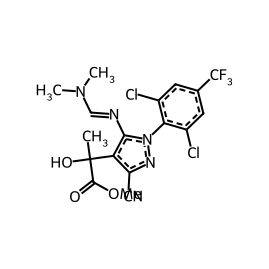 COC(=O)C(C)(O)c1c(C#N)nn(-c2c(Cl)cc(C(F)(F)F)cc2Cl)c1N=CN(C)C